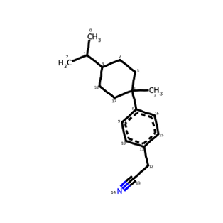 CC(C)C1CCC(C)(c2ccc(CC#N)cc2)CC1